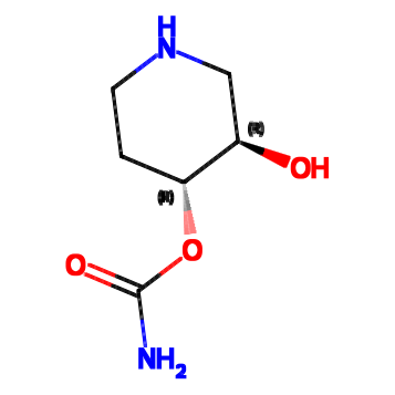 NC(=O)O[C@@H]1CCNC[C@H]1O